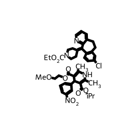 CCOC(=O)N1CCC(=C2c3ccc(Cl)cc3CCc3cccnc32)CC1.COCCOC(=O)C1=C(C)NC(C)=C(C(=O)OC(C)C)C1c1cccc([N+](=O)[O-])c1